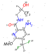 COc1nc(C(=O)NCC(C)(O)C(F)(F)F)c(N)cc1C(C)(F)F